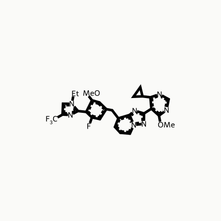 CCn1cc(C(F)(F)F)nc1-c1c(F)cc(Cc2cccn3nc(-c4c(OC)ncnc4C4CC4)nc23)cc1OC